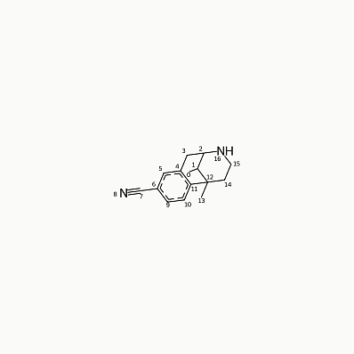 CC1C2Cc3cc(C#N)ccc3C1(C)CCN2